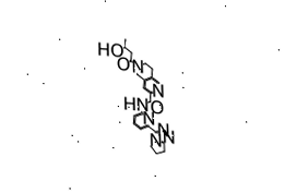 C[C@H](O)CC(=O)N1CCc2cnc(C(=O)Nc3cccc(-c4nnc5n4CCC5)n3)cc2C1